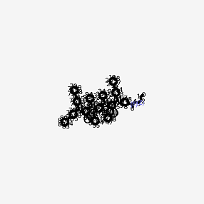 C=C/C=C\C=C(/C)c1ccc(N(c2ccc(-c3ccccc3)cc2)c2cc3c4c(c2)N(c2ccccc2)c2cc5c(cc2B4c2ccccc2O3)B2c3ccccc3Oc3cc(N(c4ccc(-c6ccccc6)cc4)c4ccc(-c6ccccc6)cc4)cc(c32)N5c2ccccc2)cc1